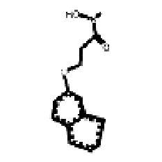 CN(O)C(=O)CCOc1ccc2ccccc2c1